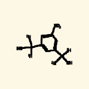 [2H]C([2H])(O)c1cc([N+](=O)[O-])cc(C([2H])([2H])O)c1